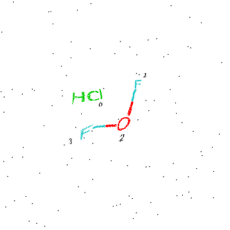 Cl.FOF